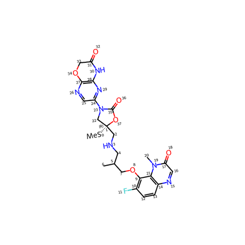 CS[C@]1(CNCC(C)COc2c(F)ccc3ncc(=O)n(C)c23)CN(c2cnc3c(n2)NC(=O)CO3)C(=O)O1